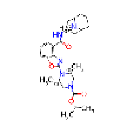 CC(C)OC(=O)N1C[C@H](C)N(c2nc3c(C(=O)NC4CC5CCCC(C4)N5C)cccc3o2)[C@@H](C)C1